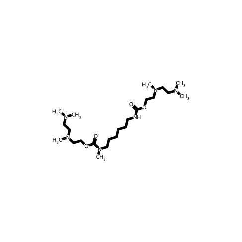 CN(C)CCN(C)CCOC(=O)NCCCCCCN(C)C(=O)OCCN(C)CCN(C)C